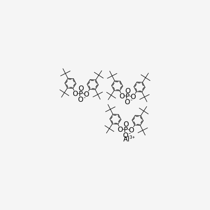 CC(C)(C)c1ccc(OP(=O)([O-])Oc2ccc(C(C)(C)C)cc2C(C)(C)C)c(C(C)(C)C)c1.CC(C)(C)c1ccc(OP(=O)([O-])Oc2ccc(C(C)(C)C)cc2C(C)(C)C)c(C(C)(C)C)c1.CC(C)(C)c1ccc(OP(=O)([O-])Oc2ccc(C(C)(C)C)cc2C(C)(C)C)c(C(C)(C)C)c1.[Al+3]